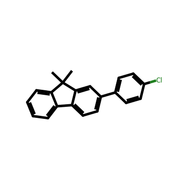 CC1(C)c2ccccc2-c2ccc(-c3ccc(Cl)cc3)cc21